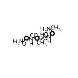 Cc1cc(C(Nc2cccc(C(N)=O)c2)C(=O)O)ccc1CCOC(=O)Nc1cccc([C@@H](C)N)c1